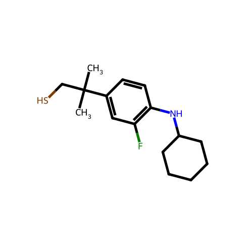 CC(C)(CS)c1ccc(NC2CCCCC2)c(F)c1